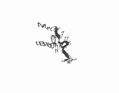 COCCC[C@H](NC(=O)OC(C)(C)C)c1cccc(C#C[Si](C)(C)C)n1